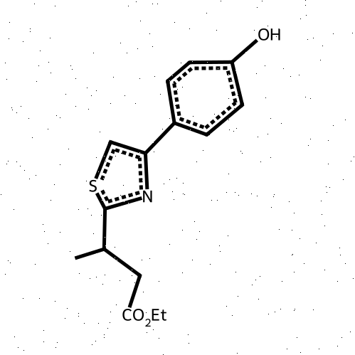 CCOC(=O)CC(C)c1nc(-c2ccc(O)cc2)cs1